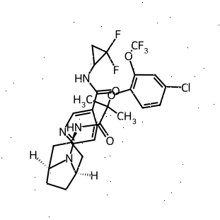 CC(C)(Oc1ccc(Cl)cc1OC(F)(F)F)C(=O)N[C@H]1C[C@H]2CC[C@@H](C1)N2c1ccc(C(=O)NC2CC2(F)F)cn1